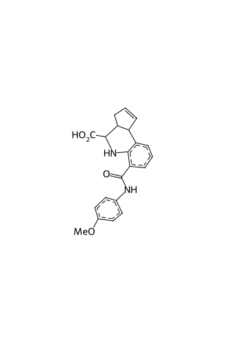 COc1ccc(NC(=O)c2cccc3c2NC(C(=O)O)C2CC=CC32)cc1